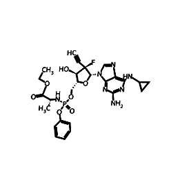 C#C[C@@]1(F)[C@H](O)[C@@H](CO[P@](=O)(N[C@H](C)C(=O)OCC)Oc2ccccc2)O[C@H]1n1cnc2c(NC3CC3)nc(N)nc21